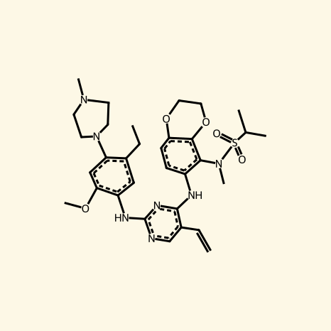 C=Cc1cnc(Nc2cc(CC)c(N3CCN(C)CC3)cc2OC)nc1Nc1ccc2c(c1N(C)S(=O)(=O)C(C)C)OCCO2